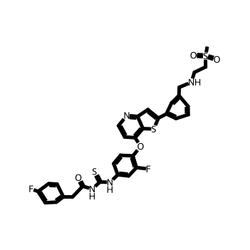 CS(=O)(=O)CCNCc1cccc(-c2cc3nccc(Oc4ccc(NC(=S)NC(=O)Cc5ccc(F)cc5)cc4F)c3s2)c1